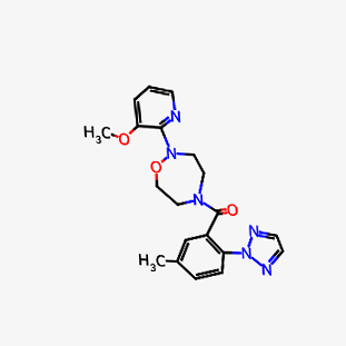 COc1cccnc1N1CCN(C(=O)c2cc(C)ccc2-n2nccn2)CCO1